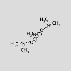 CCCN(CCC)CCCOc1ccc2c3ccc(OCCCN(CCC)CCC)cc3n(C)c2c1